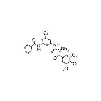 COc1cc(C(=O)N(N)C(=S)Nc2cc(Cl)cc(NC(=O)c3ccccc3)c2)cc(OC)c1OC